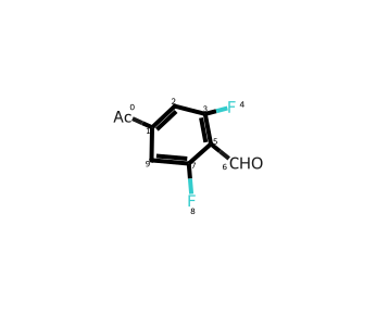 CC(=O)c1cc(F)c(C=O)c(F)c1